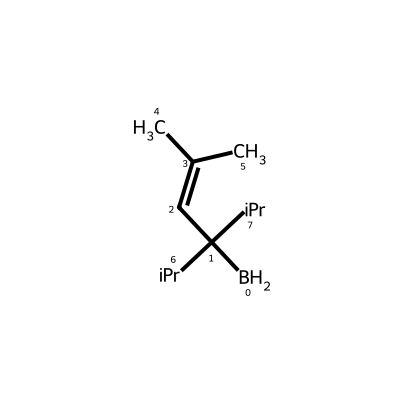 BC(C=C(C)C)(C(C)C)C(C)C